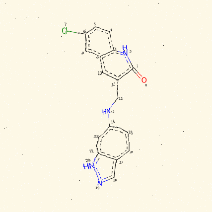 O=c1[nH]c2ccc(Cl)cc2cc1CNc1ccc2cn[nH]c2c1